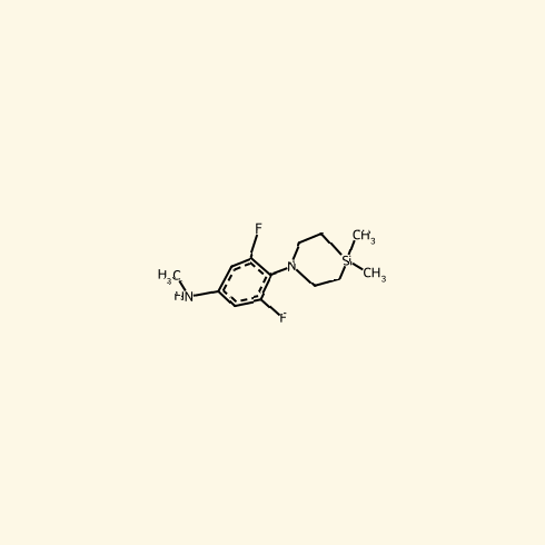 CNc1cc(F)c(N2CC[Si](C)(C)CC2)c(F)c1